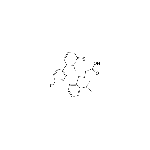 CC(C)c1ccccc1CCCC(=O)O.CC1=C(c2ccc(Cl)cc2)C=CCC1=S